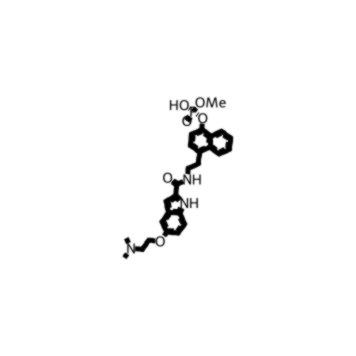 COP(=O)(O)Oc1ccc(CCNC(=O)c2cc3cc(OCCN(C)C)ccc3[nH]2)c2ccccc12